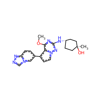 COc1nc(N[C@H]2CC[C@](C)(O)CC2)nn2ccc(-c3ccc4nncn4c3)c12